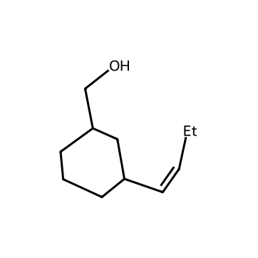 CC/C=C\C1CCCC(CO)C1